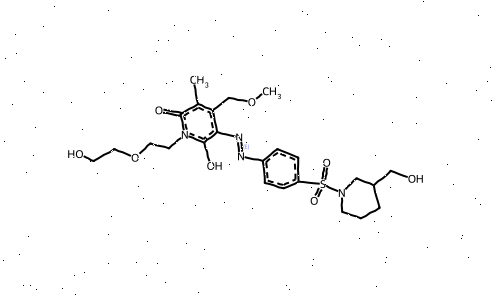 COCc1c(/N=N/c2ccc(S(=O)(=O)N3CCCC(CO)C3)cc2)c(O)n(CCOCCO)c(=O)c1C